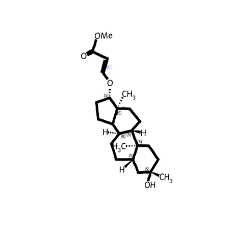 COC(=O)/C=C/O[C@H]1CCC2[C@@H]3CC[C@H]4C[C@@](C)(O)CC[C@]4(C)[C@H]3CC[C@@]21C